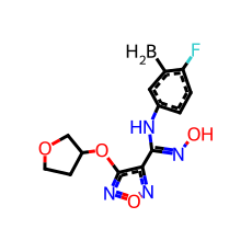 Bc1cc(N/C(=N\O)c2nonc2OC2CCOC2)ccc1F